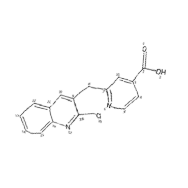 O=C(O)c1ccnc(Cc2cc3ccccc3nc2Cl)c1